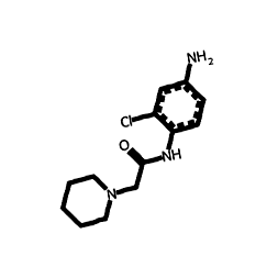 Nc1ccc(NC(=O)CN2CCCCC2)c(Cl)c1